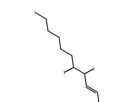 OC=CC(I)C(I)CCCCCI